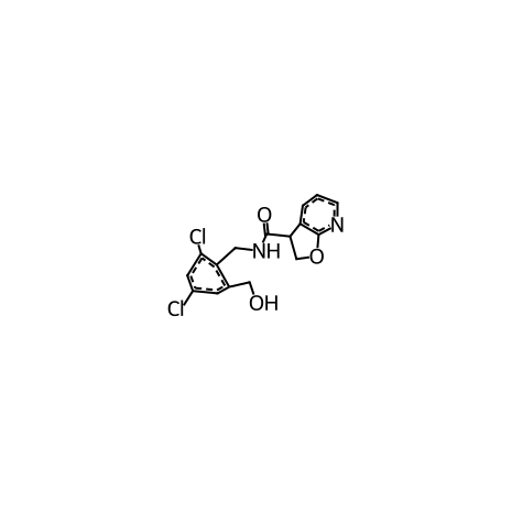 O=C(NCc1c(Cl)cc(Cl)cc1CO)C1COc2ncccc21